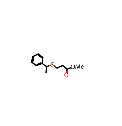 COC(=O)CCSC(C)c1ccccc1